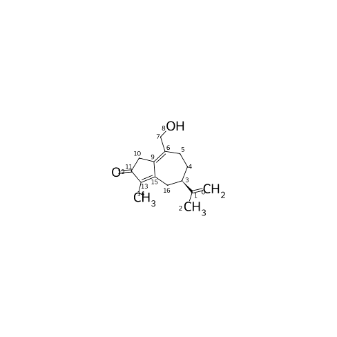 C=C(C)[C@@H]1CCC(CO)=C2CC(=O)C(C)=C2C1